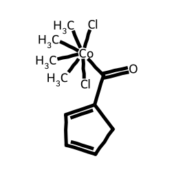 [CH3][Co]([CH3])([CH3])([CH3])([Cl])([Cl])[C](=O)C1=CC=CC1